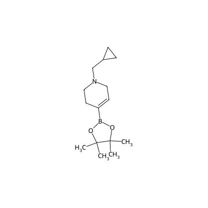 CC1(C)OB(C2=CCN(CC3CC3)CC2)OC1(C)C